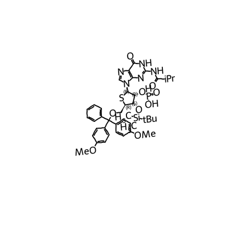 COc1ccc(C(OC[C@H]2S[C@@H](n3cnc4c(=O)[nH]c(NC(=O)C(C)C)nc43)[C@H](O[PH](=O)O)[C@@H]2O[Si](C)(C)C(C)(C)C)(c2ccccc2)c2ccc(OC)cc2)cc1